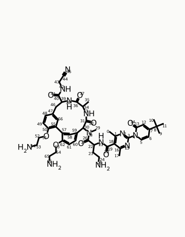 Cc1nc(-n2ccc(C(C)(C)C)cc2=O)nc(C)c1C(=O)NC(CCN)C(=O)N(C)C1C(=O)NC(C)C(=O)NC(C(=O)NCC#N)Cc2ccc(OCCN)c(c2)-c2cc1ccc2OCCN